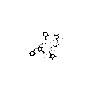 C=P(C)(CC1CC(C)C(OC)C1OP(=C)(C)OCC1CC(Cc2ccccc2)C(O)C1OP(=C)(C)OCC1CC(C)C(C)C1O)CP(=C)(C)CP(=C)(C)CC1(OC)OC(C)C(F)C1O